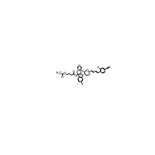 CC(=O)OCCCC(=O)O[C@@](Cn1cncn1)(c1ccc(F)cc1F)[C@@H](C)S[C@H]1CO[C@H](C=CC=Cc2ccc(C#N)cc2F)OC1